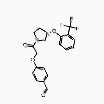 O=Cc1ccc(OCC(=O)N2CC[C@H](Oc3ccccc3C(F)(F)F)C2)cc1